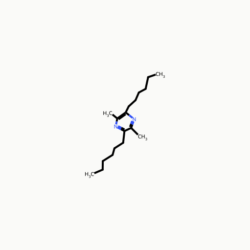 CCCCCCc1nc(C)c(CCCCCC)nc1C